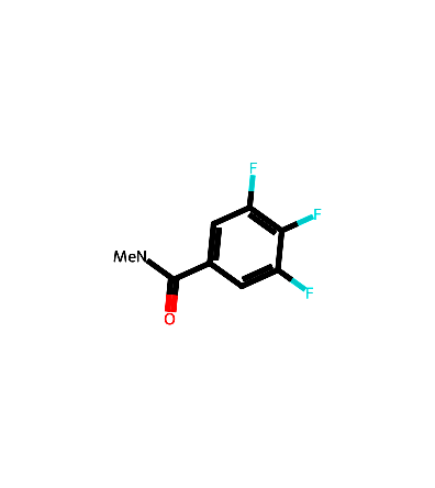 CNC(=O)c1cc(F)c(F)c(F)c1